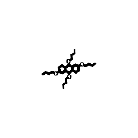 CCCCOc1ccc2c(OCCCC)c3cc(OCCCC)ccc3c(OCCCC)c2c1